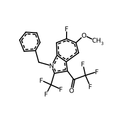 COc1cc2c(C(=O)C(F)(F)F)c(C(F)(F)F)n(Cc3ccccc3)c2cc1F